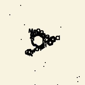 COC(=O)[C@@]1(O)CC(=O)N(C)CC/C=C/[C@H](OCCN2CCOC[C@@H]2C)[C@@H]2CC[C@H]2CN2C[C@@]3(CCCc4cc(Cl)ccc43)COc3ccc1cc32